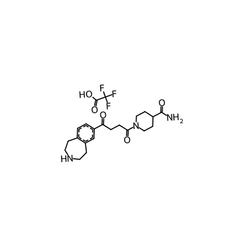 NC(=O)C1CCN(C(=O)CCC(=O)c2ccc3c(c2)CCNCC3)CC1.O=C(O)C(F)(F)F